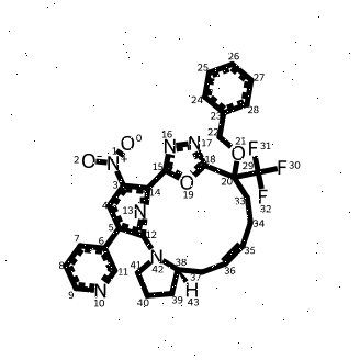 O=[N+]([O-])c1cc(-c2cccnc2)c2nc1-c1nnc(o1)C(OCc1ccccc1)(C(F)(F)F)CCC=CC[C@@H]1CCCN21